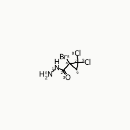 NNC(=O)C1(Br)CC1(Cl)Cl